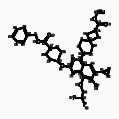 CC(C)(C)OC(=O)N1CC2(CCN(c3nc(OC4CCN(C(=O)OCc5ccccc5)CC4)nc4c(OCC(F)F)c(Br)c(C5CC5)cc34)CC2)C1